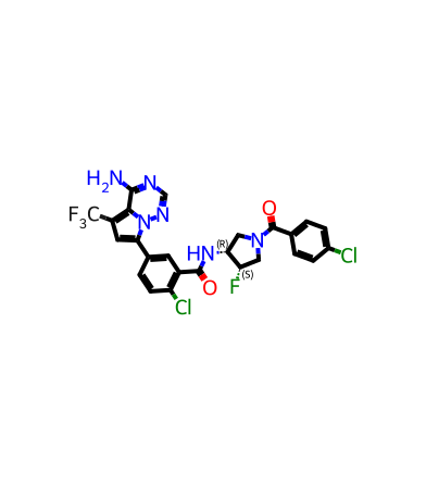 Nc1ncnn2c(-c3ccc(Cl)c(C(=O)N[C@@H]4CN(C(=O)c5ccc(Cl)cc5)C[C@@H]4F)c3)cc(C(F)(F)F)c12